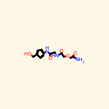 NC(=O)COCC(=O)NCC(=O)Nc1ccc(CO)cc1